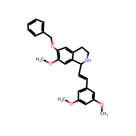 COc1cc(/C=C/C2NCCc3cc(OCc4ccccc4)c(OC)cc32)cc(OC)c1